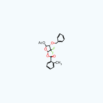 CC(=O)OC1O[C@H](OC(=O)c2ccccc2C)C(F)(F)[C@H]1OCc1ccccc1